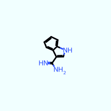 N=C(N)c1c[nH]c2ccccc12